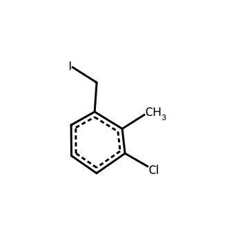 Cc1c(Cl)cccc1CI